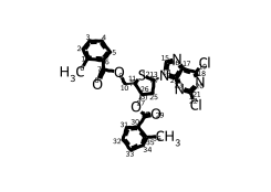 Cc1ccccc1C(=O)OC[C@H]1S[C@H](n2cnc3c(Cl)nc(Cl)nc32)C[C@@H]1OC(=O)c1ccccc1C